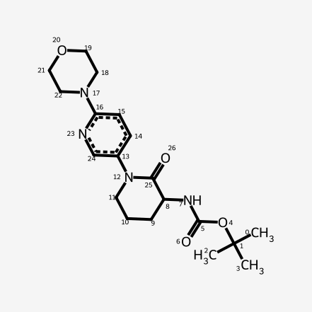 CC(C)(C)OC(=O)NC1CCCN(c2ccc(N3CCOCC3)nc2)C1=O